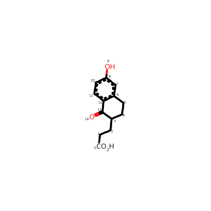 O=C(O)CCC1CCc2cc(O)ccc2C1=O